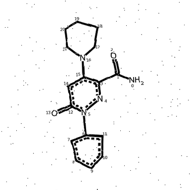 NC(=O)c1nn(-c2ccccc2)c(=O)cc1N1CCCCC1